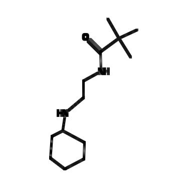 CC(C)(C)C(=O)NCCNC1CCCCC1